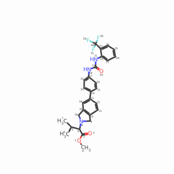 COC(=O)C(C(C)C)N1Cc2ccc(-c3ccc(NC(=O)Nc4ccccc4C(F)(F)F)cc3)cc2C1